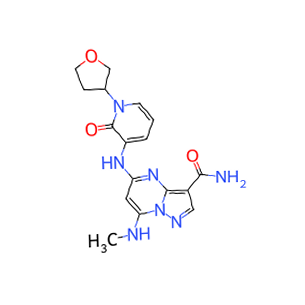 CNc1cc(Nc2cccn(C3CCOC3)c2=O)nc2c(C(N)=O)cnn12